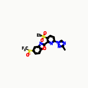 CCS(=O)(=O)c1ccc(-n2cnc(C)n2)nc1-c1nc2cc([S+]([O-])C(F)(F)F)ccc2o1